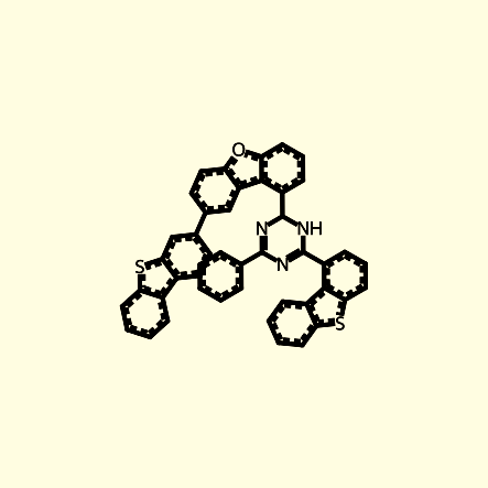 c1ccc(C2=NC(c3cccc4oc5ccc(-c6ccc7c(c6)sc6ccccc67)cc5c34)NC(c3cccc4sc5ccccc5c34)=N2)cc1